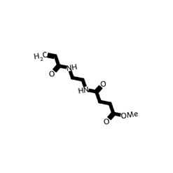 C=CC(=O)NCCNC(=O)CCC(=O)OC